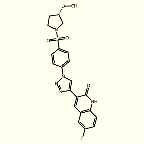 CO[C@H]1CCN(S(=O)(=O)c2ccc(-n3cc(-c4cc5cc(F)ccc5[nH]c4=O)nn3)cc2)C1